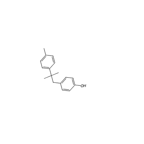 Cc1ccc(C(C)(C)Cc2ccc(O)cc2)cc1